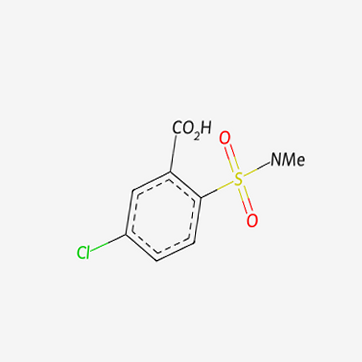 CNS(=O)(=O)c1ccc(Cl)cc1C(=O)O